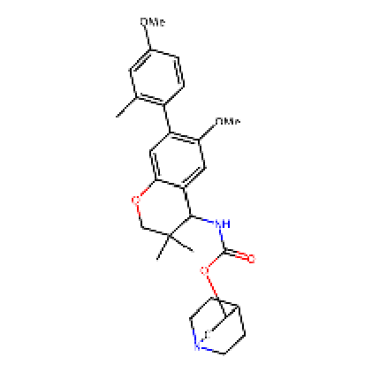 COc1ccc(-c2cc3c(cc2OC)C(NC(=O)OC2CN4CCC2CC4)C(C)(C)CO3)c(C)c1